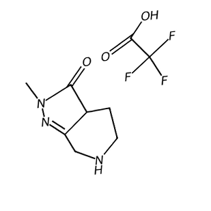 CN1N=C2CNCCC2C1=O.O=C(O)C(F)(F)F